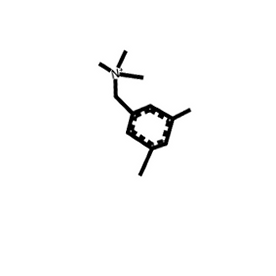 Cc1cc(C)cc(C[N+](C)(C)C)c1